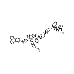 Cc1c(NCCc2ccc(Cl)c(Cl)c2)ncnc1C(=O)N1CCC(N2CCC(C(N)=O)CC2)CC1